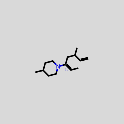 C=CC(C)C/C(=C\C)N1CCC(C)CC1